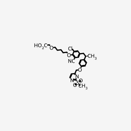 C[C@H](Cc1cc(Cl)c(OCCCCCOCC(=O)O)c(C#N)c1)c1ccc(OCc2ccnc(S(C)(=O)=O)n2)cc1